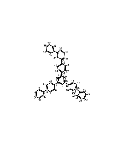 c1ccc(-c2ccc(-c3cc(-c4ccc5c(c4)oc4ccccc45)nc(-c4ccc(-c5cccc(-c6ccccc6)c5)cc4)n3)cc2)cc1